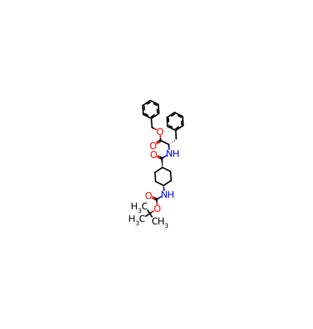 CC(C)(C)OC(=O)N[C@H]1CC[C@@H](C(=O)N[C@@H](Cc2ccccc2)C(=O)OCc2ccccc2)CC1